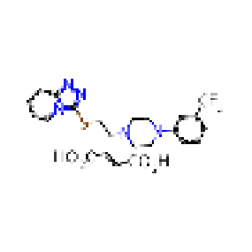 FC(F)(F)c1cccc(N2CCN(CCSc3nnc4ccccn34)CC2)c1.O=C(O)C=CC(=O)O